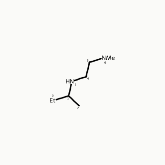 CCC(C)NCCNC